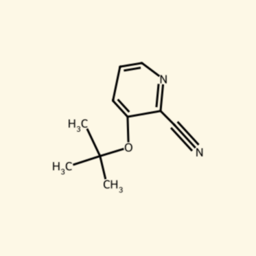 CC(C)(C)Oc1cccnc1C#N